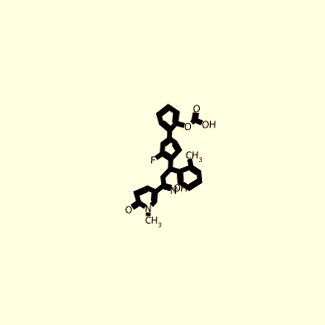 Cc1ccccc1C(C/C(=N\O)c1ccc(=O)n(C)c1)c1ccc(-c2ccccc2OC(=O)O)cc1F